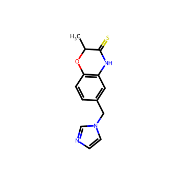 CC1Oc2ccc(Cn3ccnc3)cc2NC1=S